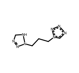 c1nnnn1CCCN1N=NCN1